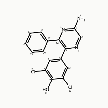 Nc1cnc(-c2cc(Cl)c(O)c(Cl)c2)c(-c2ccccc2)n1